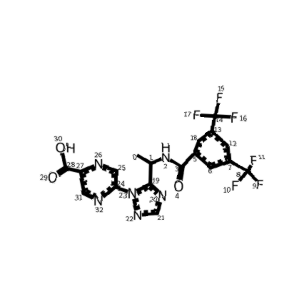 CC(NC(=O)c1cc(C(F)(F)F)cc(C(F)(F)F)c1)c1ncnn1-c1cnc(C(=O)O)cn1